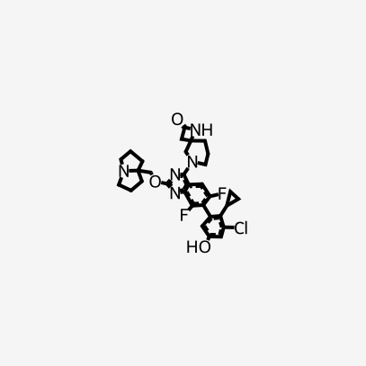 O=C1CC2(CCCN(c3nc(OCC45CCCN4CCC5)nc4c(F)c(-c5cc(O)cc(Cl)c5C5CC5)c(F)cc34)C2)N1